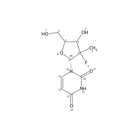 CC1(F)C(O)C(CO)O[C@H]1n1ccc(=O)[nH]c1=O